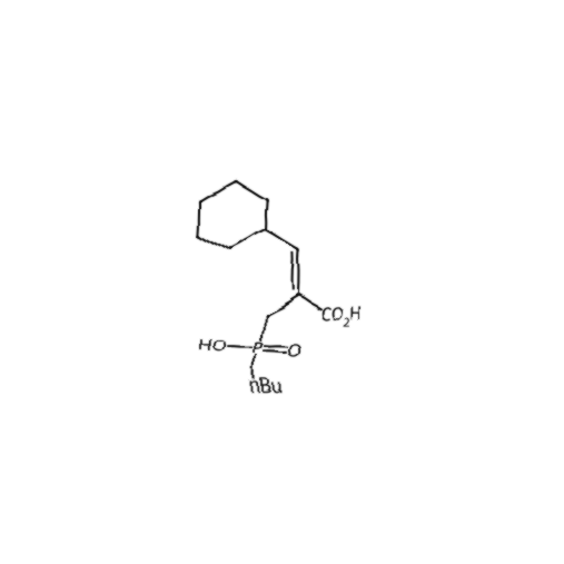 CCCCP(=O)(O)CC(=CC1CCCCC1)C(=O)O